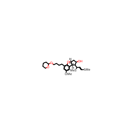 COc1cc(CCCCOC2CCCCO2)c2c(c1)[C@H]1C(C(C=CSC)SC)C(O)C[C@H]1O2